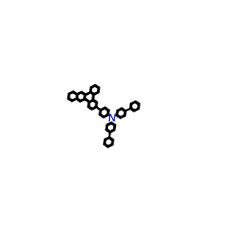 c1ccc(-c2ccc(N(c3ccc(-c4ccccc4)cc3)c3ccc(-c4ccc5c(c4)c4ccccc4c4cc6ccccc6cc54)cc3)cc2)cc1